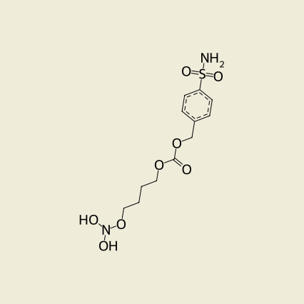 NS(=O)(=O)c1ccc(COC(=O)OCCCCON(O)O)cc1